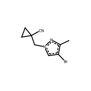 Cc1nn(CC2(C#N)CC2)cc1Br